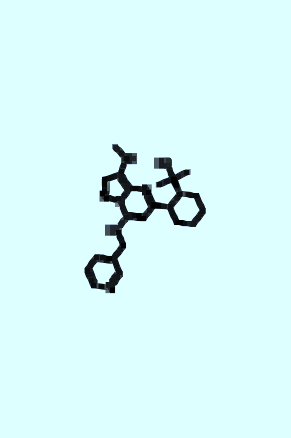 CBc1cnn2c(NCc3cccnc3)cc([C@@H]3CCCC[C@@H]3C(C)(C)O)nc12